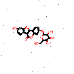 O=c1oc2cc(OC3OC(CO)C(O)C(O)C3O)ccc2c2oc3cc(O)ccc3c12